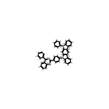 c1ccc(-c2nc(-c3ccc(-n4c5ccccc5c5cc6c7ccccc7n(-c7ccccc7)c6cc54)cc3)nc3ccccc23)cc1